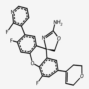 NC1=N[C@@]2(CO1)c1cc(-c3cccnc3F)c(F)cc1Oc1c(F)cc(C3=CCOCC3)cc12